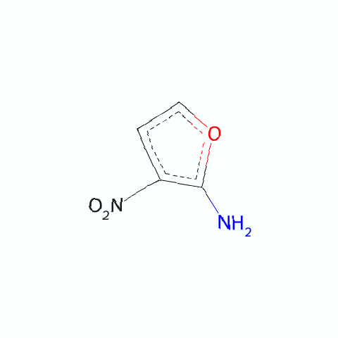 Nc1occc1[N+](=O)[O-]